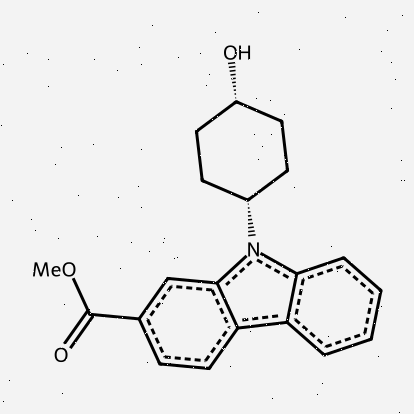 COC(=O)c1ccc2c3ccccc3n([C@H]3CC[C@@H](O)CC3)c2c1